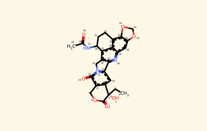 CC[C@@]1(O)C(=O)OCc2c1cc1n(c2=O)Cc2c-1nc1cc3c(c4c1c2C(NC(C)=O)CC4)OCO3